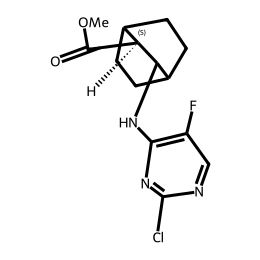 COC(=O)[C@H]1C2CCC(CC2)C1Nc1nc(Cl)ncc1F